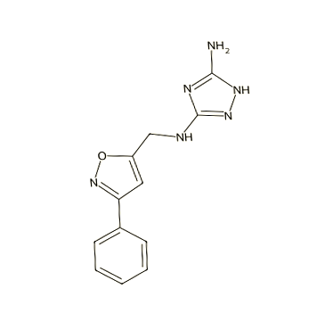 Nc1nc(NCc2cc(-c3ccccc3)no2)n[nH]1